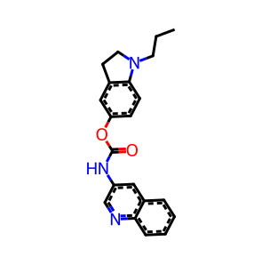 CCCN1CCc2cc(OC(=O)Nc3cnc4ccccc4c3)ccc21